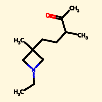 CCN1CC(C)(CCC(C)C(C)=O)C1